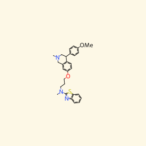 COc1ccc(C2CN(C)Cc3cc(OCCCN(C)c4nc5ccccc5s4)ccc32)cc1